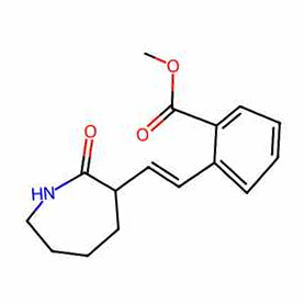 COC(=O)c1ccccc1C=CC1CCCCNC1=O